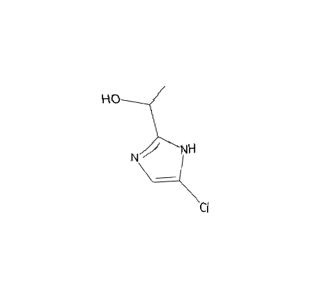 CC(O)c1ncc(Cl)[nH]1